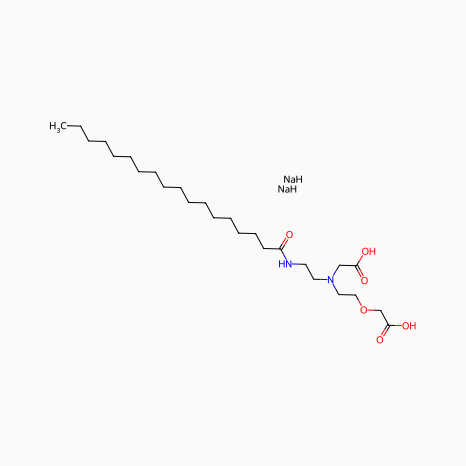 CCCCCCCCCCCCCCCCCC(=O)NCCN(CCOCC(=O)O)CC(=O)O.[NaH].[NaH]